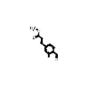 COC(=O)C=Cc1ccc(C=O)c(F)c1